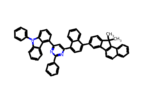 CC1(C)c2ccc(-c3ccc(-c4cc(-c5cccc6c5c5ccccc5n6-c5ccccc5)nc(-c5ccccc5)n4)c4ccccc34)cc2-c2ccc3ccccc3c21